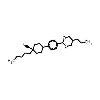 CCCCCC1(C#N)CCC(c2ccc(C3OCC(CCC)CO3)cc2)CC1